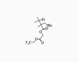 CCC(C)(C)C(C)(CC(C)(C)C)C(=O)OCC(=O)OCC(F)(F)F